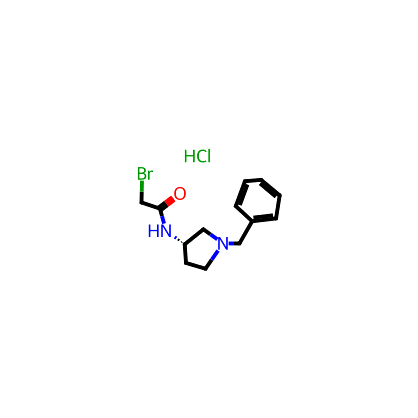 Cl.O=C(CBr)N[C@H]1CCN(Cc2ccccc2)C1